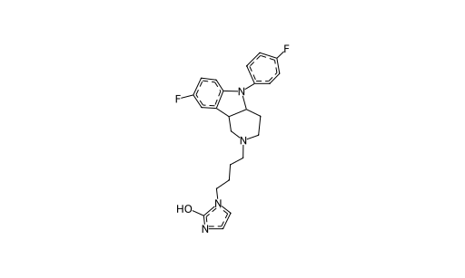 Oc1nccn1CCCCN1CCC2C(C1)c1cc(F)ccc1N2c1ccc(F)cc1